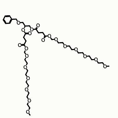 COCCOCCOCCOCCOCCOCOC(=O)CCC(=O)OCC(COCc1ccccc1)OC(=O)CCC(=O)OCOCCOCCOCCOCCOCCOC